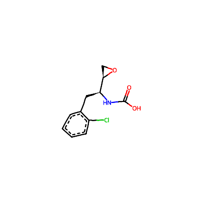 O=C(O)N[C@@H](Cc1ccccc1Cl)[C@H]1CO1